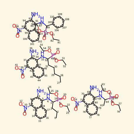 CCCC(Nc1c(N)cc([N+](=O)[O-])c2ccccc12)P(=O)(OCC)OCC.CCCCCC(Nc1c(N)cc([N+](=O)[O-])c2ccccc12)P(=O)(OCC)OCC.CCOP(=O)(OCC)C(C)Nc1c(N)cc([N+](=O)[O-])c2ccccc12.CCOP(=O)(OCC)C(Nc1c(N)cc([N+](=O)[O-])c2ccccc12)c1ccccc1